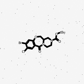 CC(C)(C)OC(=O)N1CCN2C(=O)c3cc(Cl)c(Br)cc3OCC2C1